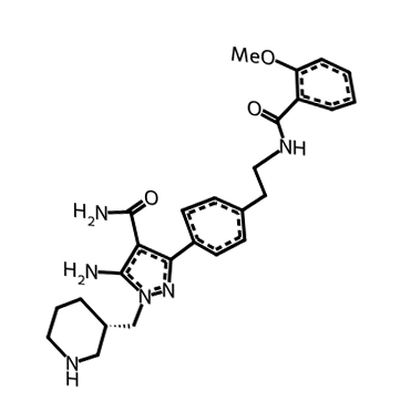 COc1ccccc1C(=O)NCCc1ccc(-c2nn(C[C@H]3CCCNC3)c(N)c2C(N)=O)cc1